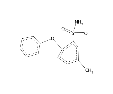 Cc1ccc(Oc2ccccc2)c(S(N)(=O)=O)c1